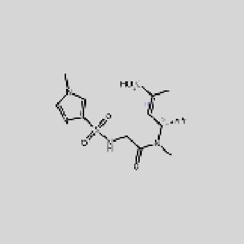 C/C(=C\[C@H](C(C)C)N(C)C(=O)CNS(=O)(=O)c1cn(C)cn1)C(=O)O